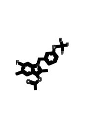 CC(=O)Oc1c(C)n(Cc2cccc(OC(F)(F)F)c2)c2cc(F)c(C)cc12